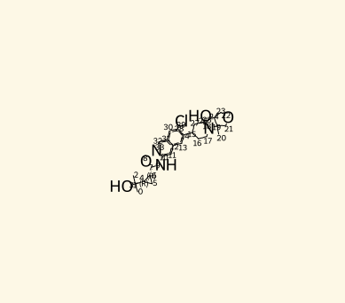 CC(C)(O)[C@@H]1C[C@H]1C(=O)Nc1cc2cc(C3CCN(C4(C)COCC4O)CC3)c(Cl)cc2cn1